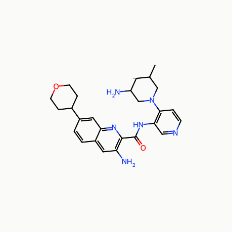 CC1[CH]C(N)CN(c2ccncc2NC(=O)c2nc3cc(C4CCOCC4)ccc3cc2N)C1